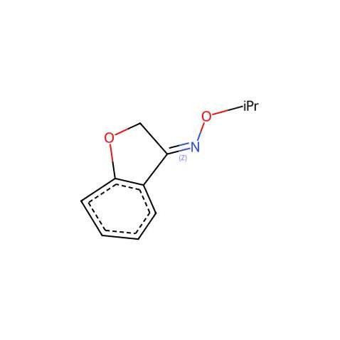 CC(C)O/N=C1\COc2ccccc21